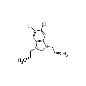 C=CCN1CN(CC=C)c2cc(Cl)c(Cl)cc21